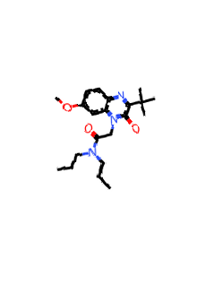 CCCN(CCC)C(=O)Cn1c(=O)c(C(C)(C)C)nc2ccc(OC)cc21